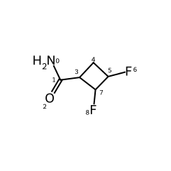 NC(=O)C1CC(F)C1F